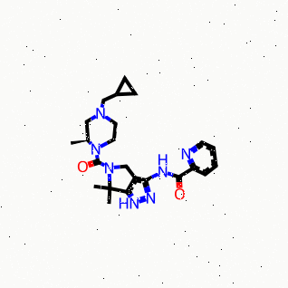 C[C@H]1CN(CC2CC2)CCN1C(=O)N1Cc2c(NC(=O)c3ccccn3)n[nH]c2C1(C)C